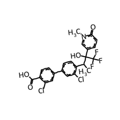 CC(c1ccc(-c2ccc(C(=O)O)c(Cl)c2)cc1Cl)C(O)(c1ccc(=O)n(C)c1)C(F)(F)F